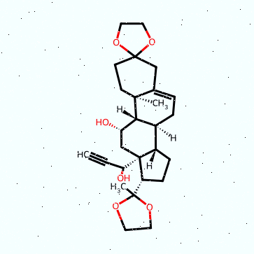 C#CC(O)[C@]12C[C@H](O)[C@H]3[C@@H](CC=C4CC5(CC[C@@]43C)OCCO5)[C@@H]1CC[C@@H]2C1(C)OCCO1